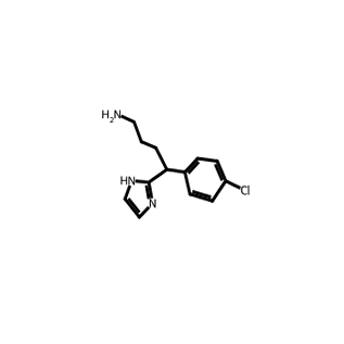 NCCCC(c1ccc(Cl)cc1)c1ncc[nH]1